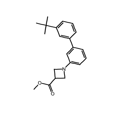 COC(=O)C1CN(c2cccc(-c3cccc(C(C)(C)C)c3)c2)C1